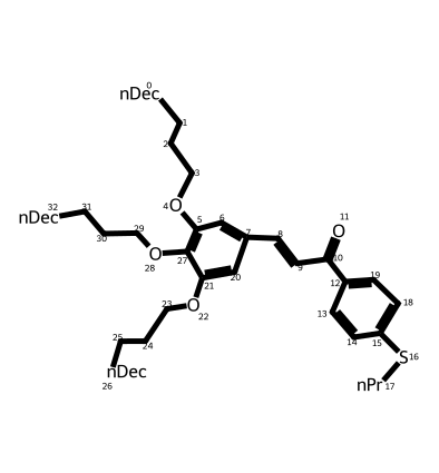 CCCCCCCCCCCCCOc1cc(C=CC(=O)c2ccc(SCCC)cc2)cc(OCCCCCCCCCCCCC)c1OCCCCCCCCCCCCC